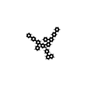 c1ccc(-c2ccc(-c3ccc(-c4ccc5c(c4)c4cc(-c6ccc(-c7ccc(-c8ccccc8)cc7)cc6-c6ccccc6)ccc4n5-c4ccc(-c5cccc6ccccc56)cc4)c(-c4ccccc4)c3)cc2)cc1